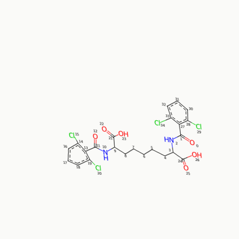 O=C(NC(CCCCCC(NC(=O)c1c(Cl)cccc1Cl)C(=O)O)C(=O)O)c1c(Cl)cccc1Cl